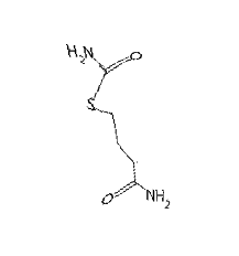 NC(=O)[CH]CCSC(N)=O